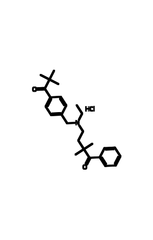 CCN(CCC(C)(C)C(=O)c1ccccc1)Cc1ccc(C(=O)C(C)(C)C)cc1.Cl